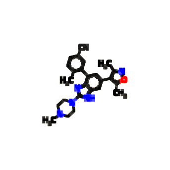 Cc1ccc(C#N)cc1-c1cc(-c2c(C)noc2C)cc2[nH]c(N3CCN(C)CC3)nc12